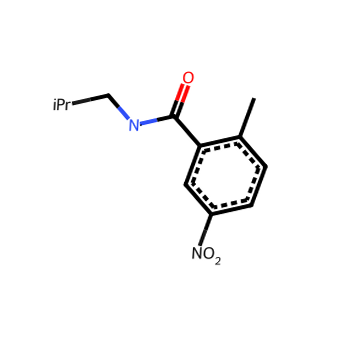 Cc1ccc([N+](=O)[O-])cc1C(=O)[N]CC(C)C